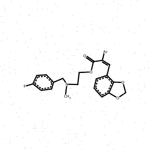 CC(=O)C(=Cc1cccc2c1OCO2)C(=O)OCCN(C)Cc1ccc(F)cc1